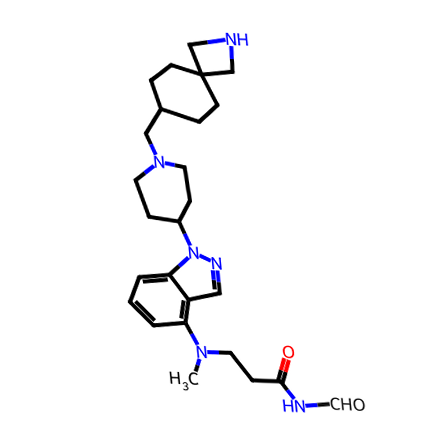 CN(CCC(=O)NC=O)c1cccc2c1cnn2C1CCN(CC2CCC3(CC2)CNC3)CC1